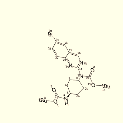 CC(C)(C)OC(=O)N[C@H]1CC[C@H](N(C(=O)OC(C)(C)C)c2ncc3cc(Br)ccc3n2)CC1